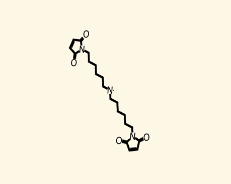 O=C1C=CC(=O)N1CCCCCC[N]CCCCCCN1C(=O)C=CC1=O